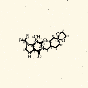 Cn1c2c(c(=O)n(CC3CCC4(CC3)OCCO4)c1=O)NCN2C(F)F